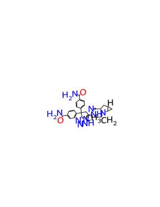 C=C(CN[C@@H](C)CC(c1ccc(C(N)=O)cc1)(c1ccc(C(N)=O)cc1)c1nn[nH]n1)N1C(C#N)C[C@@H]2CC21